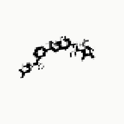 Cc1n[nH]c(C(=O)Nc2cnc3[nH]c(-c4cccc(C(=O)NCC(C)C)c4)cc3c2)c1C